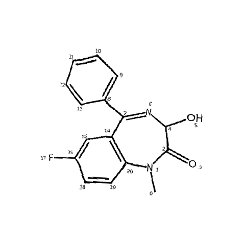 CN1C(=O)C(O)N=C(c2ccccc2)c2cc(F)ccc21